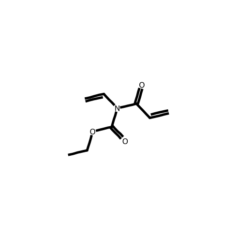 C=CC(=O)N(C=C)C(=O)OCC